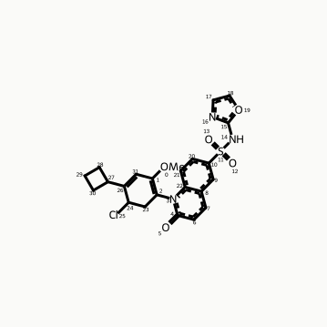 COC1=C(n2c(=O)ccc3cc(S(=O)(=O)Nc4ncco4)ccc32)CC(Cl)C(C2CCC2)=C1